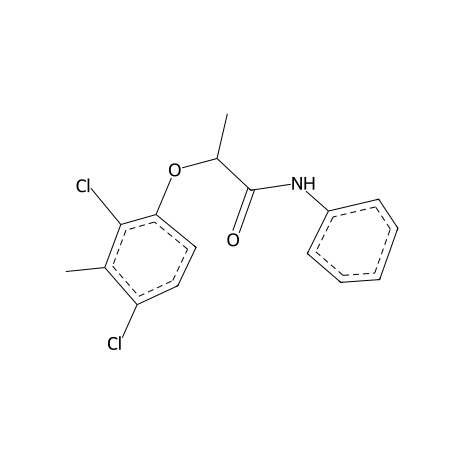 Cc1c(Cl)ccc(OC(C)C(=O)Nc2ccccc2)c1Cl